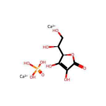 O=C1O[C@H]([C@@H](O)CO)C(O)=C1O.O=P(O)(O)O.[Ca+2].[Ca+2]